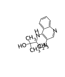 CC(Nc1c([N+](=O)[O-])cnc2ccccc12)C(C)(C)O